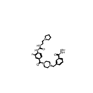 CC(C)(C)NC(=O)c1cccc(CN2CCN(C(=O)c3ccc(NC(=O)NCCN4CCCC4)c(F)c3)CC2)c1